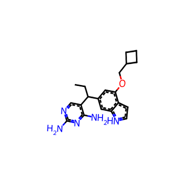 CCC(c1cc(OCC2CCC2)c2cc[nH]c2c1)c1cnc(N)nc1N